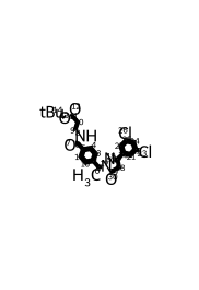 CC(c1ccc(C(=O)NCCC(=O)OC(C)(C)C)cc1)N1N=C(c2cc(Cl)cc(Cl)c2)CC1=O